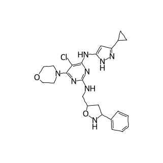 Clc1c(Nc2cc(C3CC3)n[nH]2)nc(NCC2CC(c3ccccc3)NO2)nc1N1CCOCC1